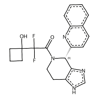 O=C(N1CCc2[nH]cnc2[C@H]1c1ccc2ccccc2n1)C(F)(F)C1(O)CCC1